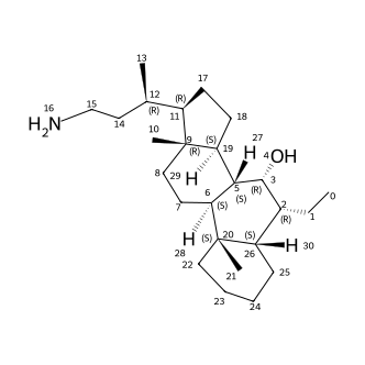 CC[C@H]1[C@@H](O)[C@@H]2[C@H](CC[C@]3(C)[C@@H]([C@H](C)CCN)CC[C@@H]23)[C@@]2(C)CCCC[C@@H]12